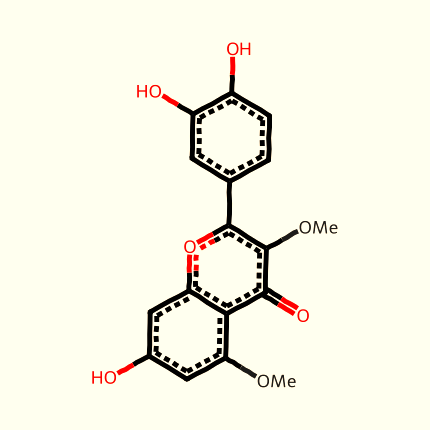 COc1c(-c2ccc(O)c(O)c2)oc2cc(O)cc(OC)c2c1=O